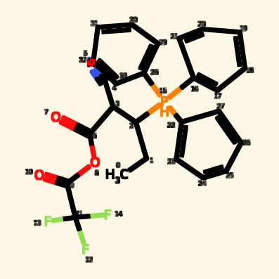 CCC(C(C#N)C(=O)OC(=O)C(F)(F)F)[PH](c1ccccc1)(c1ccccc1)c1ccccc1